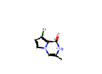 Cc1cn2ccc(Cl)c2c(=O)[nH]1